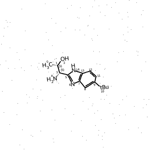 C[C@H](O)[C@@H](N)c1nc2cc(C(C)(C)C)ccc2[nH]1